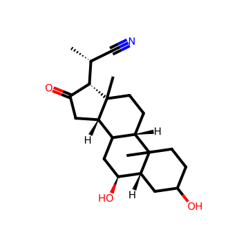 C[C@H](C#N)[C@H]1C(=O)C[C@H]2C3C[C@H](O)[C@H]4CC(O)CCC4(C)[C@H]3CCC12C